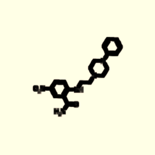 NC(=O)c1cc([N+](=O)[O-])ccc1NCCN1CCN(c2ccccc2)CC1